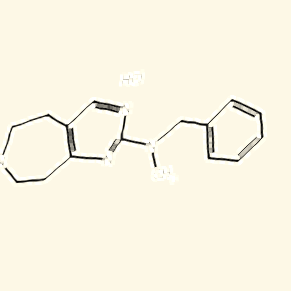 CN(Cc1ccccc1)c1ncc2c(n1)CCNCC2.Cl